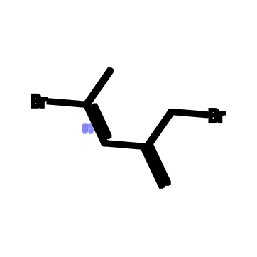 C=C(/C=C(\C)Br)CBr